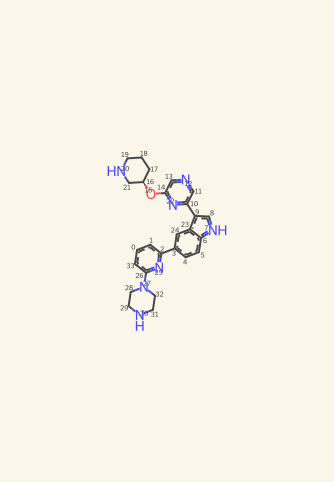 c1cc(-c2ccc3[nH]cc(-c4cncc(O[C@@H]5CCCNC5)n4)c3c2)nc(N2CCNCC2)c1